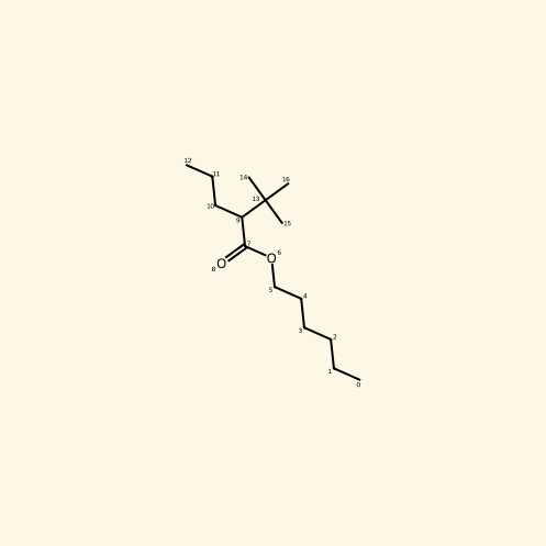 CCCCCCOC(=O)C(CCC)C(C)(C)C